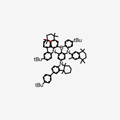 Cc1cc2c(cc1N1c3cc(C(C)(C)C)ccc3B3c4cc5c(cc4N(c4ccc(C(C)(C)C)cc4-c4ccccc4)c4cc(N6c7ccc(-c8ccc(C(C)(C)C)cc8)cc7C7(C)CCCCC67C)cc1c43)C(C)(C)CCC5(C)C)C(C)(C)CCC2(C)C